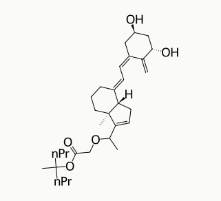 C=C1/C(=C\C=C2/CCC[C@]3(C)C(C(C)OCC(=O)OC(C)(CCC)CCC)=CC[C@@H]23)C[C@@H](O)C[C@@H]1O